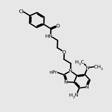 CCCc1nc2c(N)ncc(N(C)C)c2n1CCOCCNC(=O)c1ccc(Cl)cc1